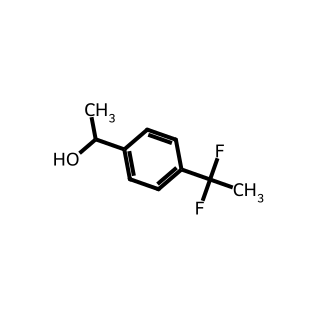 CC(O)c1ccc(C(C)(F)F)cc1